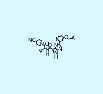 N#CC1CCN(C(=O)[C@H](NC(=O)c2c[nH]c3ncc(-c4cc(OCC5CC5)ccn4)nc23)C2CC2)CC1